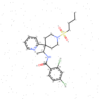 CCCCS(=O)(=O)N1CCC(c2ccccn2)(C(C)NC(=O)c2ccc(Cl)cc2Cl)CC1